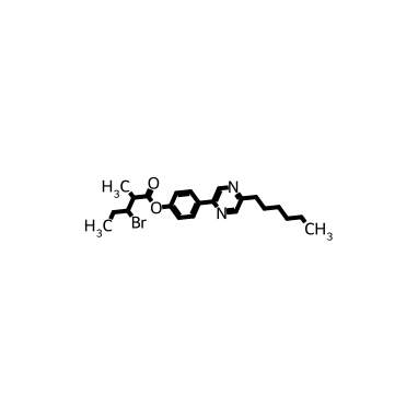 CCCCCCc1cnc(-c2ccc(OC(=O)C(C)C(Br)CC)cc2)cn1